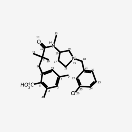 Cc1cc(C)c(C(=O)O)c(CC(C)(C)C(=O)N(C)C2CCN(Cc3cccc(Cl)c3)C2)c1